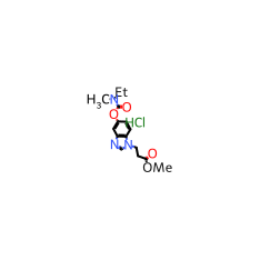 CCN(C)C(=O)Oc1ccc2c(c1)ncn2CCC(=O)OC.Cl